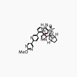 COc1ncc(-c2ccc(-c3ccn4c(N)c(S(C)(=O)=O)c([C@@H]5C[C@H]6CC[C@@H](C5)N6C(=O)c5nnc[nH]5)nc34)cn2)cn1